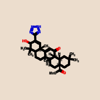 COC(=O)[C@]12CCC(C)(C)C[C@H]1[C@H]1C(=O)C=C3[C@@]4(C)C=C(c5nn[nH]n5)C(O)C(C)(C)C4CC[C@@]3(C)[C@]1(C)CC2